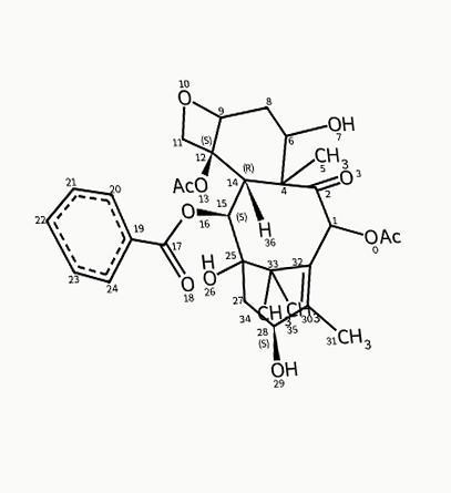 CC(=O)OC1C(=O)C2(C)C(O)CC3OC[C@@]3(OC(C)=O)[C@H]2[C@H](OC(=O)c2ccccc2)C2(O)C[C@H](O)C(C)=C1C2(C)C